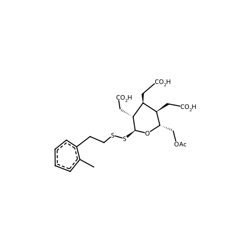 CC(=O)OC[C@@H]1O[C@@H](SSCCc2ccccc2C)[C@H](CC(=O)O)[C@@H](CC(=O)O)[C@H]1CC(=O)O